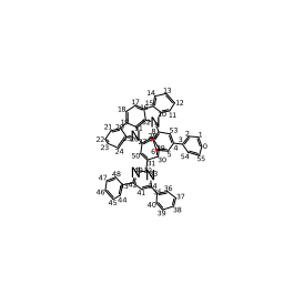 c1ccc(-c2cccc(-n3c4ccccc4c4ccc5c6ccccc6n(-c6cccc(-c7nc(-c8ccccc8)cc(-c8ccccc8)n7)c6)c5c43)c2)cc1